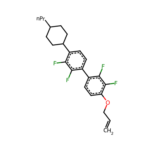 C=CCOc1ccc(-c2ccc(C3CCC(CCC)CC3)c(F)c2F)c(F)c1F